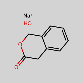 O=C1Cc2ccccc2CO1.[Na+].[OH-]